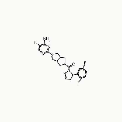 Nc1nc(N2CC3CC(C(=O)N4N=CCC4c4cc(F)ccc4F)CC3C2)ncc1F